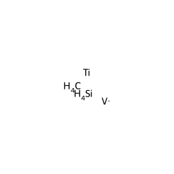 C.[SiH4].[Ti].[V]